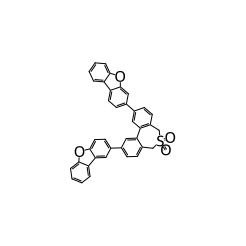 O=S1(=O)Cc2ccc(-c3ccc4c(c3)oc3ccccc34)cc2-c2cc(-c3ccc4oc5ccccc5c4c3)ccc2C1